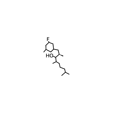 CC(C)CCCC(C)C(O)[C@H](C)CC1CC(C)CC(F)C1